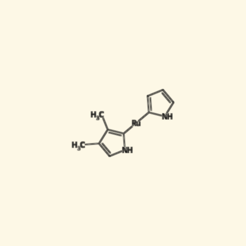 Cc1c[nH][c]([Ru][c]2ccc[nH]2)c1C